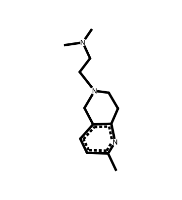 Cc1ccc2c(n1)CCN(CCN(C)C)C2